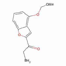 BCC(=O)c1cc2c(OCOC)cccc2o1